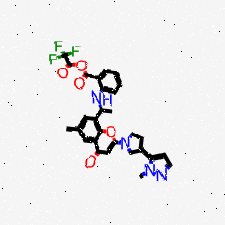 Cc1cc(C(C)Nc2ccccc2C(=O)OC(=O)C(F)(F)F)c2oc(N3CCC(c4ccnn4C)C3)cc(=O)c2c1